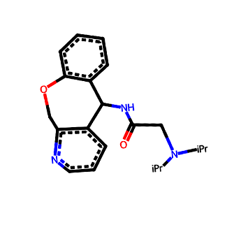 CC(C)N(CC(=O)NC1c2ccccc2OCc2ncccc21)C(C)C